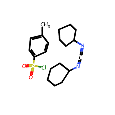 C(=NC1CCCCC1)=NC1CCCCC1.Cc1ccc(S(=O)(=O)Cl)cc1